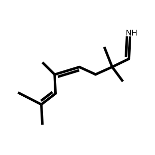 CC(C)=C/C(C)=C\CC(C)(C)C=N